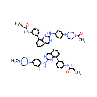 C=CC(=O)Nc1cccc(-c2cccc3cnc(Nc4ccc(N5CCN(C(C)=O)CC5)cc4)nc23)c1.C=CC(=O)Nc1cccc(-c2cccc3cnc(Nc4ccc(N5CCN(C)CC5)cc4F)nc23)c1